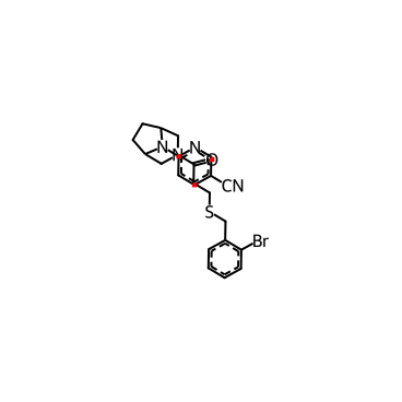 N#Cc1ccc(N2C3CCC2CN(C(=O)CCSCc2ccccc2Br)C3)nc1